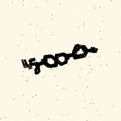 CC(=O)N1CCC2(CC1)CCN(c1ccc(Br)cn1)CC2